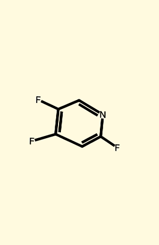 Fc1cc(F)c(F)cn1